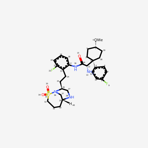 CO[C@H]1CC[C@](c2ccc(F)cc2)([C@H](N)C(=O)Nc2cccc(F)c2CC[C@H]2CN[C@@H]3CCCS(=O)(=O)N2C3)CC1